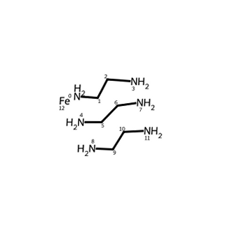 NCCN.NCCN.NCCN.[Fe]